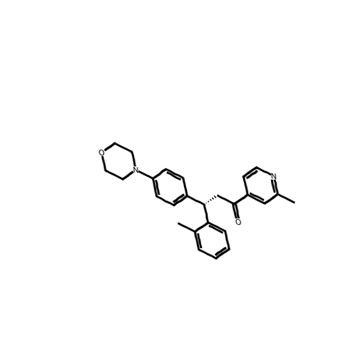 Cc1cc(C(=O)C[C@@H](c2ccc(N3CCOCC3)cc2)c2ccccc2C)ccn1